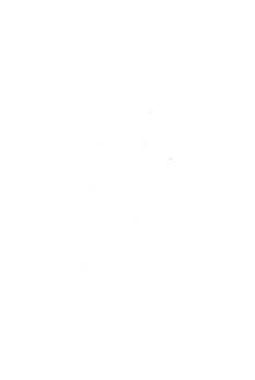 BrCc1ccc2c(Br)c(I)ccc2c1